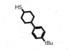 CC(C)(C)c1ccc(C2CCC(S)CC2)cc1